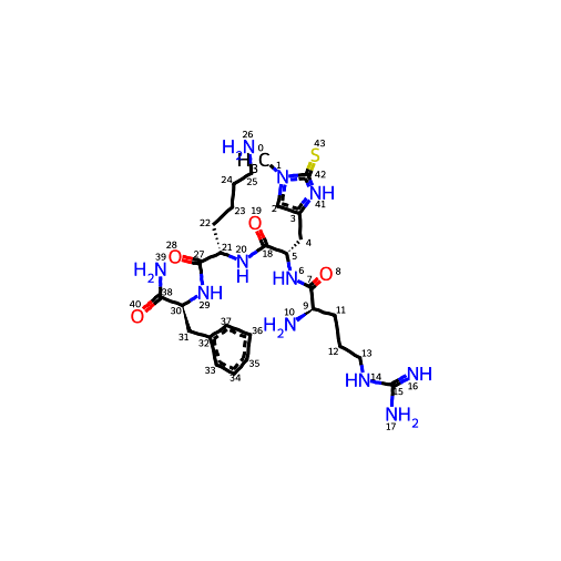 Cn1cc(C[C@H](NC(=O)[C@H](N)CCCNC(=N)N)C(=O)N[C@@H](CCCCN)C(=O)N[C@@H](Cc2ccccc2)C(N)=O)[nH]c1=S